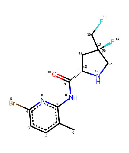 Cc1ccc(Br)nc1NC(=O)[C@@H]1C[C@](F)(CF)CN1